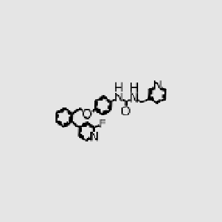 O=C(NCc1cccnc1)Nc1ccc(OCc2ccccc2-c2ccnc(F)c2)cc1